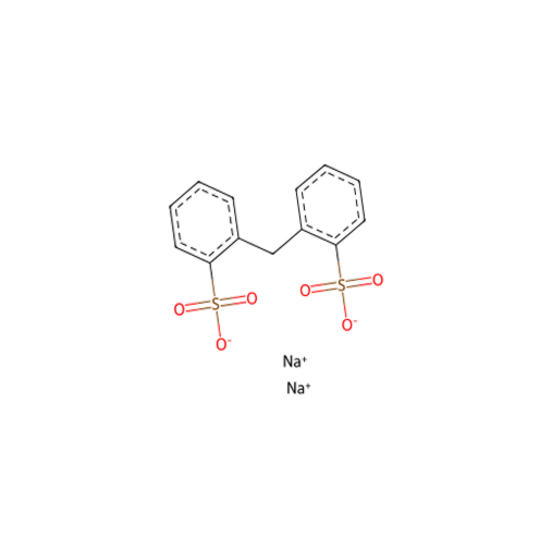 O=S(=O)([O-])c1ccccc1Cc1ccccc1S(=O)(=O)[O-].[Na+].[Na+]